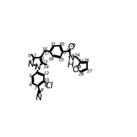 Cc1nn(-c2ccc(C#N)c(Cl)c2)c(C)c1Cc1ccc(C(=O)NCc2ccco2)cc1